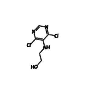 OCCNc1c(Cl)ncnc1Cl